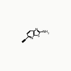 C#Cc1ccc2nc(N)sc2n1